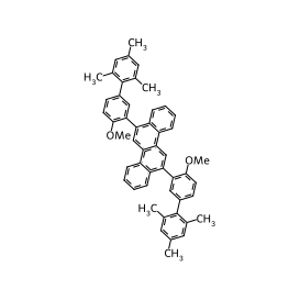 COc1ccc(-c2c(C)cc(C)cc2C)cc1-c1cc2c3ccccc3c(-c3cc(-c4c(C)cc(C)cc4C)ccc3OC)cc2c2ccccc12